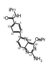 CC(C)NC(=O)c1ccc(-c2ccc3nc(N)nc(OC(C)C)c3n2)cc1